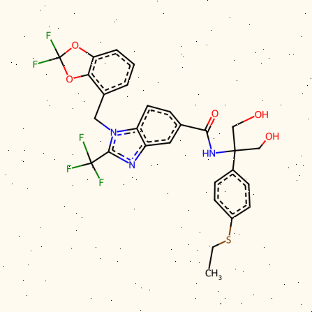 CCSc1ccc(C(CO)(CO)NC(=O)c2ccc3c(c2)nc(C(F)(F)F)n3Cc2cccc3c2OC(F)(F)O3)cc1